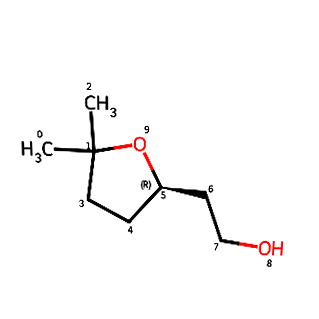 CC1(C)CC[C@H](CCO)O1